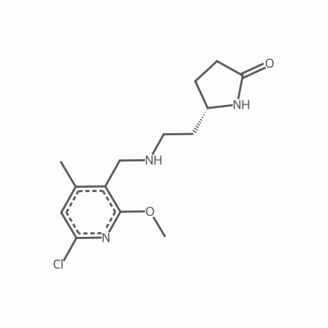 COc1nc(Cl)cc(C)c1CNCC[C@@H]1CCC(=O)N1